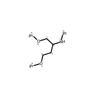 CC(C)NC(CCOC(C)C)COC(C)C